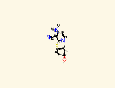 COc1ccc(Sc2nccc(N(C)C)c2C#N)cc1